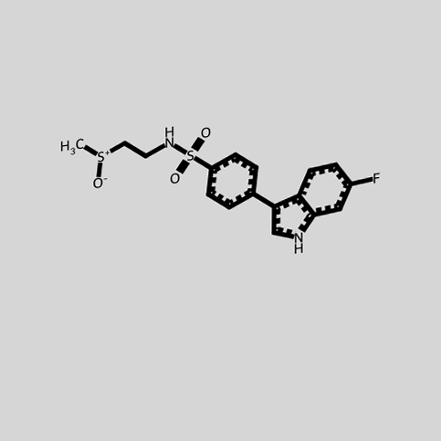 C[S+]([O-])CCNS(=O)(=O)c1ccc(-c2c[nH]c3cc(F)ccc23)cc1